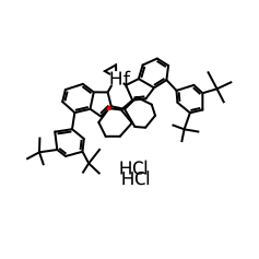 CC(C)(C)c1cc(-c2cccc3c2C=C(C2CCCCC2)[CH]3[Hf]2([CH]3C(C4CCCCC4)=Cc4c(-c5cc(C(C)(C)C)cc(C(C)(C)C)c5)cccc43)[CH2][CH2]2)cc(C(C)(C)C)c1.Cl.Cl